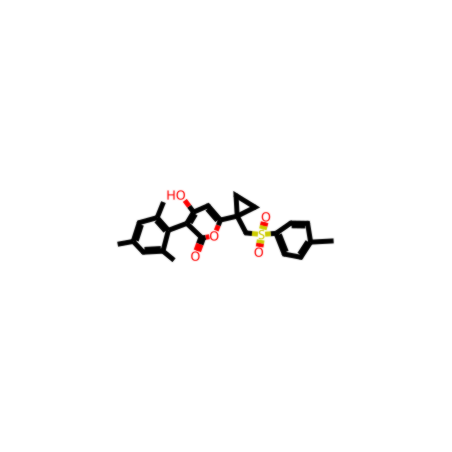 Cc1ccc(S(=O)(=O)CC2(c3cc(O)c(-c4c(C)cc(C)cc4C)c(=O)o3)CC2)cc1